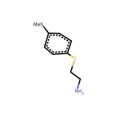 CSc1ccc(SCCN)cc1